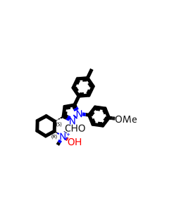 COc1ccc(-n2nc([C@H]3CCCC[C@H]3[N+](C)(O)C=O)cc2-c2ccc(C)cc2)cc1